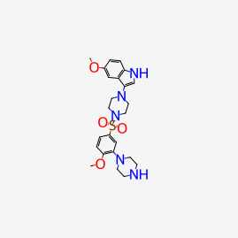 COc1ccc2[nH]cc(N3CCN(S(=O)(=O)c4ccc(OC)c(N5CCNCC5)c4)CC3)c2c1